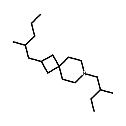 CCCC(C)CC1CC2(CCN(CC(C)CC)CC2)C1